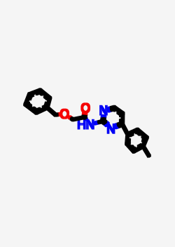 Cc1ccc(-c2ccnc(NC(=O)COCc3ccccc3)n2)cc1